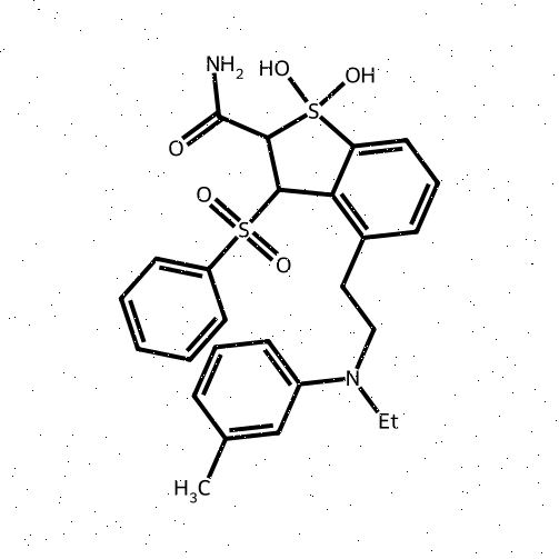 CCN(CCc1cccc2c1C(S(=O)(=O)c1ccccc1)C(C(N)=O)S2(O)O)c1cccc(C)c1